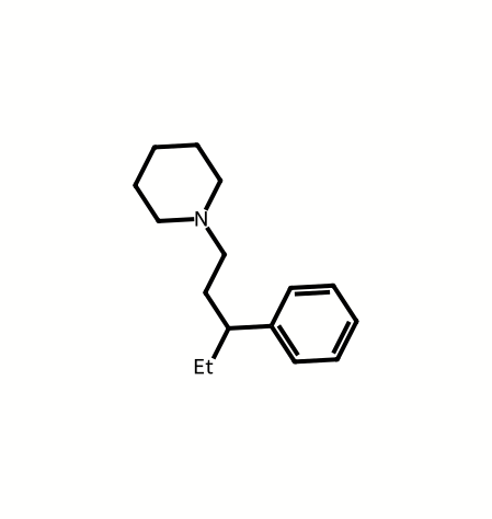 CCC(CCN1CCCCC1)c1ccccc1